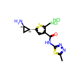 Cc1nnc(NC(=O)c2cc([C@@H]3C[C@H]3N)sc2C)s1.Cl.Cl